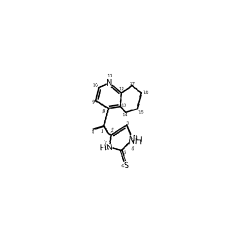 CC(c1c[nH]c(=S)[nH]1)c1ccnc2c1CCCC2